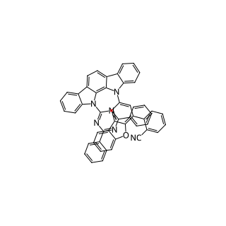 N#Cc1ccccc1-c1cc(-n2c3ccccc3c3ccc4c5ccccc5n(-c5nc(-c6ccccc6)nc(-c6ccccc6)n5)c4c32)cc2c1oc1ccccc12